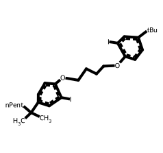 CCCCCC(C)(C)c1ccc(OCCCCOc2ccc(C(C)(C)C)cc2I)c(I)c1